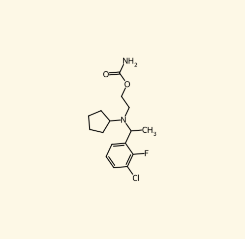 CC(c1cccc(Cl)c1F)N(CCOC(N)=O)C1CCCC1